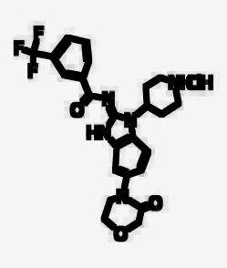 Cl.O=C(/N=c1\[nH]c2cc(N3CCOCC3=O)ccc2n1C1CCNCC1)c1cccc(C(F)(F)F)c1